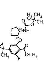 COC(=O)c1c(F)cc(C2(C)CC2)cc1O[C@@H]1CCC[C@H]1NC(=O)OC(C)(C)C